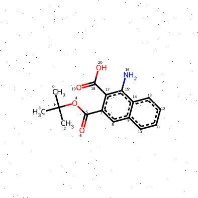 CC(C)(C)OC(=O)c1cc2ccccc2c(N)c1C(=O)O